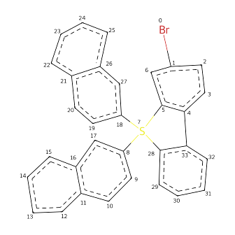 Brc1ccc2c(c1)S(c1ccc3ccccc3c1)(c1ccc3ccccc3c1)c1ccccc1-2